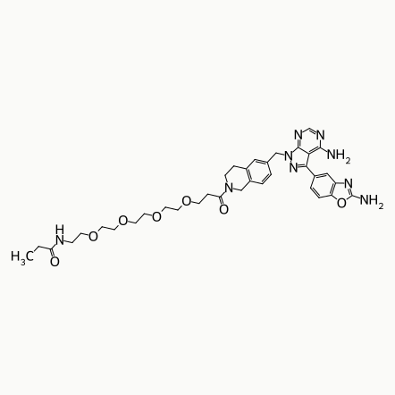 CCC(=O)NCCOCCOCCOCCOCCC(=O)N1CCc2cc(Cn3nc(-c4ccc5oc(N)nc5c4)c4c(N)ncnc43)ccc2C1